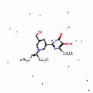 CCOC(=O)/C=C(\C(=O)OCC)N1CC(CO)CC(c2nc(C(=O)OCC)c(O)c(=O)[nH]2)C1